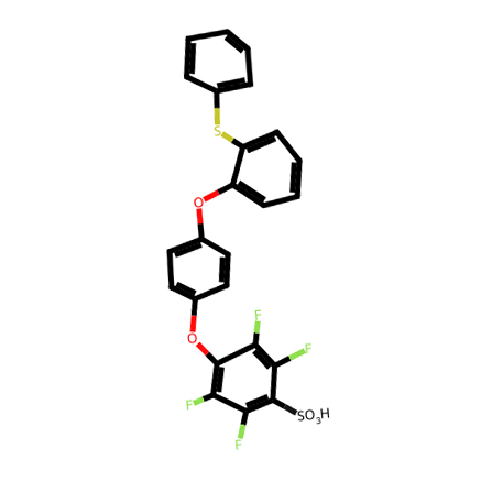 O=S(=O)(O)c1c(F)c(F)c(Oc2ccc(Oc3ccccc3Sc3ccccc3)cc2)c(F)c1F